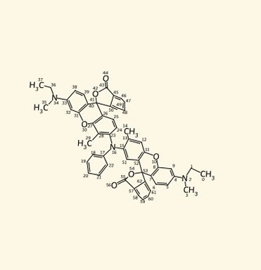 CCN(C)c1ccc2c(c1)Oc1cc(C)c(N(c3ccccc3)c3ccc4c(c3C)Oc3cc(N(C)CC)ccc3C43OC(=O)c4ccccc43)cc1C21OC(=O)c2ccccc21